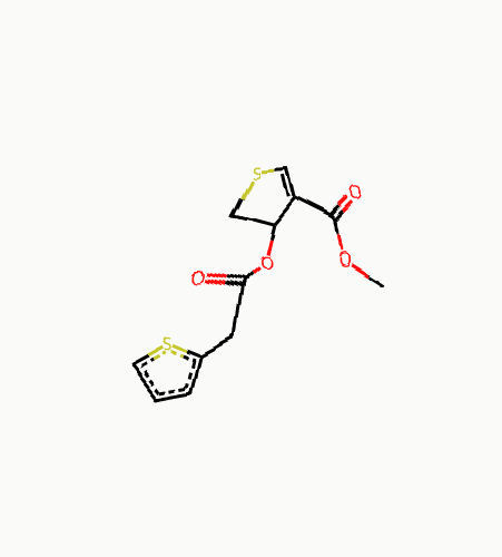 COC(=O)C1=CSCC1OC(=O)Cc1cccs1